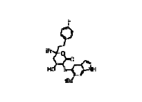 CC(C)C1(CCc2ccc(F)cc2)CC(O)=C(Sc2cc3cc[nH]c3cc2C(C)(C)C)C(=O)O1